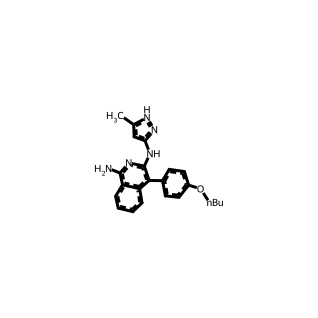 CCCCOc1ccc(-c2c(Nc3cc(C)[nH]n3)nc(N)c3ccccc23)cc1